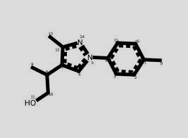 Cc1ccc(-n2cc(C(C)CO)c(C)n2)cc1